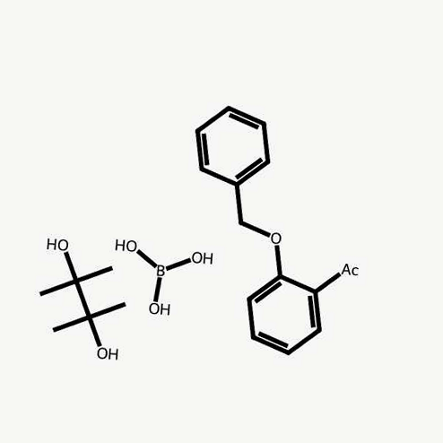 CC(=O)c1ccccc1OCc1ccccc1.CC(C)(O)C(C)(C)O.OB(O)O